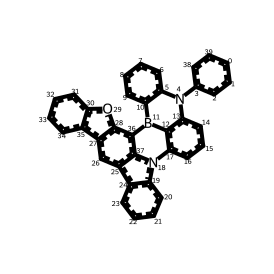 c1ccc(N2c3ccccc3B3c4c2cccc4-n2c4ccccc4c4cc5c(oc6ccccc65)c3c42)cc1